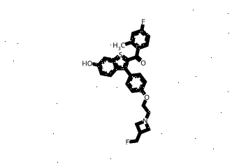 Cc1cc(F)ccc1C(=O)c1sc2cc(O)ccc2c1-c1ccc(OCCN2CC(CF)C2)cc1